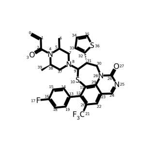 C=CC(=O)N1C(C)CN(C2Sc3c(-c4ccc(F)cc4)c(C(F)(F)F)cc4cnc(=O)n(c34)C[C@H]2c2cccs2)C[C@H]1C